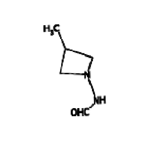 CC1CN(NC=O)C1